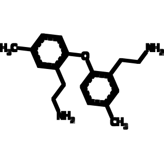 Cc1ccc(Oc2ccc(C)cc2CCN)c(CCN)c1